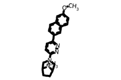 COc1ccc2cc(-c3ccc(N4CC5CCC(C4)N5C)nn3)ccc2c1